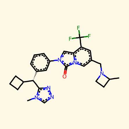 CC1CCN1Cc1cc(C(F)(F)F)c2cn(-c3cccc([C@H](c4nncn4C)C4CCC4)c3)c(=O)n2c1